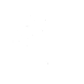 CCC[CH2][Sn+2][CH2]CCC.O=C([O-])C1(O)CC1.O=C([O-])C1(O)CC1